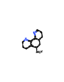 O=S(=O)(O)c1cc2cccnc2c2ncccc12